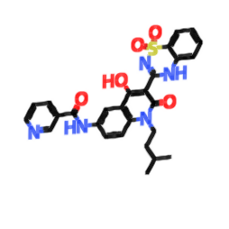 CC(C)CCn1c(=O)c(C2=NS(=O)(=O)c3ccccc3N2)c(O)c2cc(NC(=O)c3cccnc3)ccc21